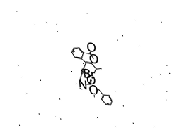 CC(Br)c1oc(=O)c2ccccc2c1C#CCN(C)C(=O)OCc1ccccc1